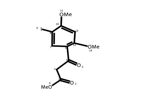 COC(=O)CC(=O)c1cc(I)c(OC)cc1OC